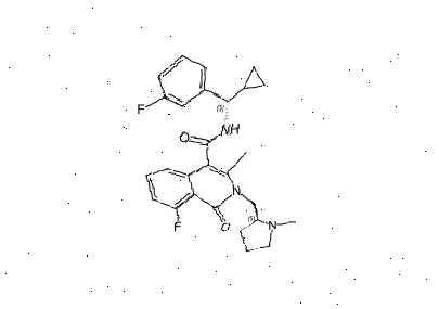 Cc1c(C(=O)N[C@H](c2cccc(F)c2)C2CC2)c2cccc(F)c2c(=O)n1C[C@@H]1CCCN1C